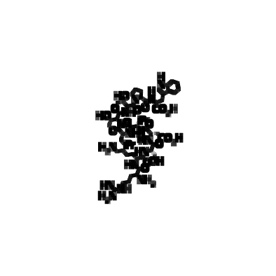 CC(C)C[C@H](NC(=O)[C@@H](NC(=O)[C@H](CC(=O)O)NC(=O)[C@H](CO)NC(=O)[C@H](CCCCN)NC(=O)[C@@H](N)CCCNC(=N)N)C(C)C)C(=O)N[C@H](C(=O)N[C@H](C(=O)N1CCC[C@H]1C(=O)N[C@@H](Cc1c[nH]c2ccccc12)C(=O)O)[C@@H](C)O)[C@@H](C)O